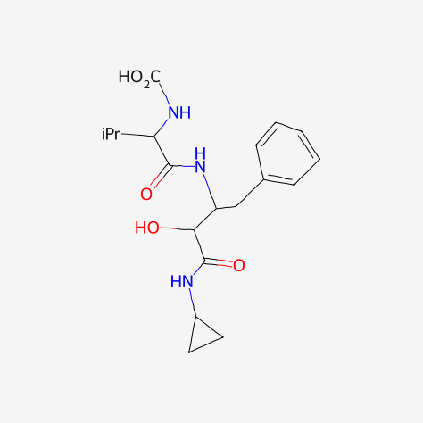 CC(C)C(NC(=O)O)C(=O)NC(Cc1ccccc1)C(O)C(=O)NC1CC1